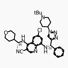 C[C@@H](Nc1c(C#N)cnc2c(N[C@@H](c3ccccc3)c3cn(C4CCN(C(C)(C)C)CC4)nn3)cc(Cl)cc12)C1CCOCC1